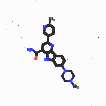 Cc1ccc(-c2cc(C(N)=O)c3[nH]c4cc(N5CCN(C)CC5)ccc4c3n2)cn1